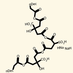 CCCCCCCCCCCC(=O)OC(=O)CC(O)(CC(=O)OC(=O)CC(C(=O)OC(=O)CC(O)(CC(=O)OC(=O)CCCCCCCCCCC)C(=O)O)S(=O)(=O)O)C(=O)O.[NaH].[NaH]